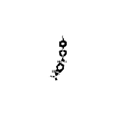 CC(C)N(C)c1nc2ccc(NC(=O)N3CCN(c4ccc(F)cc4)CC3)cc2[nH]1